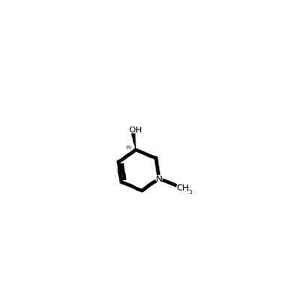 CN1CC=C[C@@H](O)C1